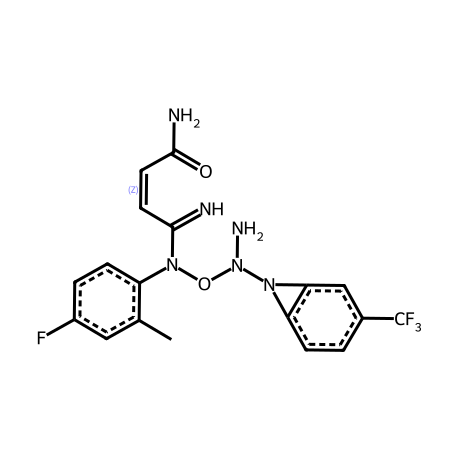 Cc1cc(F)ccc1N(ON(N)N1c2ccc(C(F)(F)F)cc21)C(=N)/C=C\C(N)=O